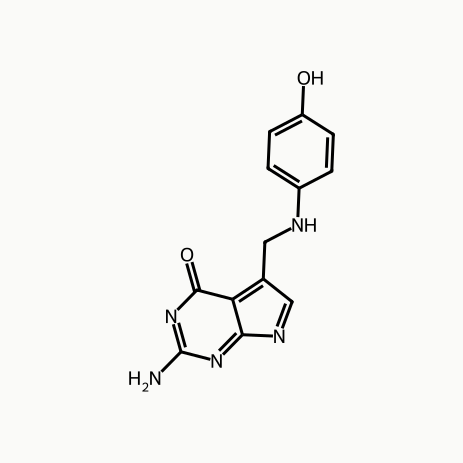 NC1=NC(=O)C2=C(CNc3ccc(O)cc3)C=NC2=N1